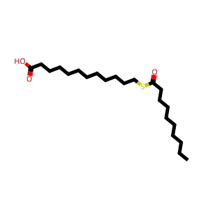 CCCCCCCCCC(=O)SCCCCCCCCCCCC(=O)O